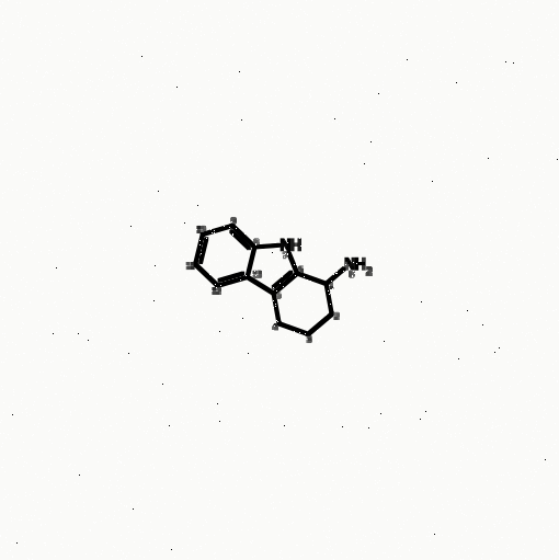 NC1CCCc2c1[nH]c1ccccc21